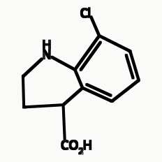 O=C(O)C1CCNc2c(Cl)cccc21